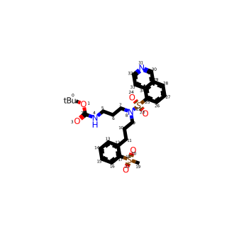 CC(C)(C)OC(=O)NCCCN(CCCc1ccccc1S(C)(=O)=O)S(=O)(=O)c1cccc2cnccc12